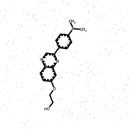 CN(C)c1ccc(-c2cnc3ccc(OCCO)cc3n2)cc1